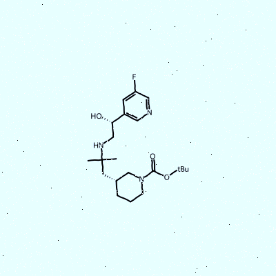 CC(C)(C[C@H]1CCCN(C(=O)OC(C)(C)C)C1)NC[C@H](O)c1cncc(F)c1